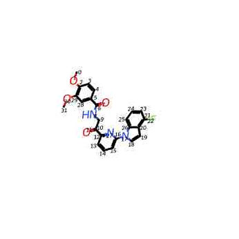 COc1ccc(C(=O)NCC(=O)c2cccc(-n3ccc4c(F)cccc43)n2)cc1OC